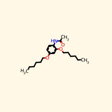 CCCCCCOc1ccc(NC(C)=O)c(OCCCCCC)c1